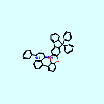 N=C(/C=C\C(=N)c1ccccc1-c1cccc2c1Oc1cc3c(cc1O2)C(c1ccccc1)(c1ccccc1)c1ccccc1-3)c1ccccc1